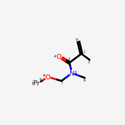 C=C(C)C(=O)N(C)COC(C)C